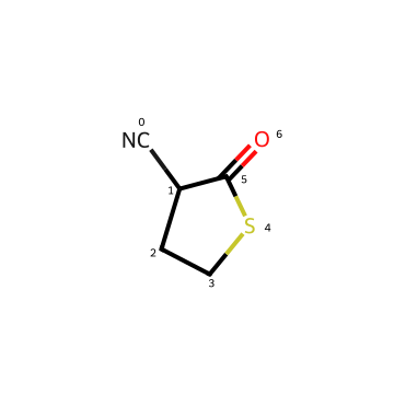 N#CC1CCSC1=O